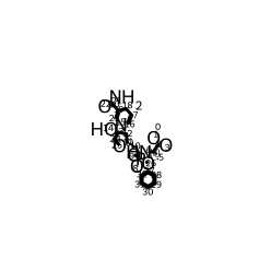 COC(=O)[C@H](C)NP(=O)(OC[C@@H]1CC(O)(N2C=CCC(C(N)=O)=C2)CO1)Oc1ccccc1